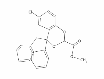 COC(=O)C1Oc2ccc(Cl)cc2C(Cc2ccccc2)(c2ccccc2)O1